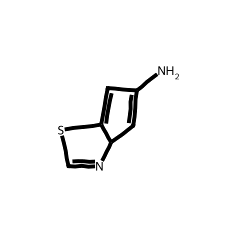 NC1=CC2N=CSC2=C1